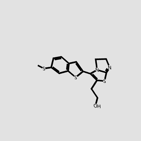 CSc1ccc2cc(C3=C(CCO)SC4=NCCN43)sc2c1